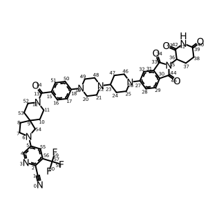 N#Cc1ncc(N2CCC3(CCN(C(=O)c4ccc(N5CCN(C6CCN(c7ccc8c(c7)C(=O)N(C7CCC(=O)NC7=O)C8=O)CC6)CC5)cc4)CC3)C2)cc1C(F)(F)F